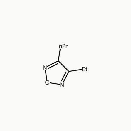 CCCc1nonc1CC